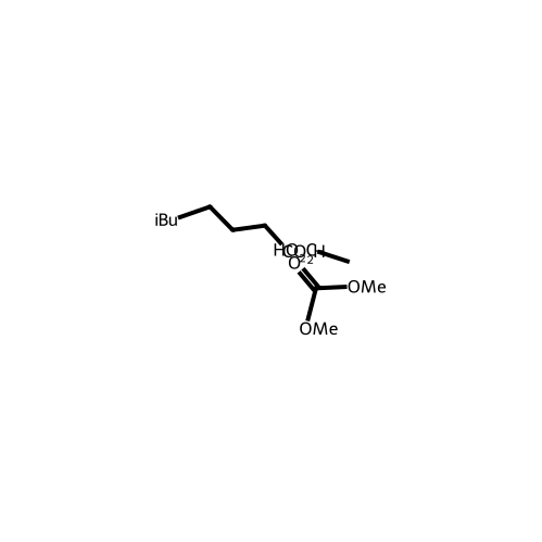 CC(=O)O.COC(=O)OC.[CH2]C(CC)CCCC(=O)O